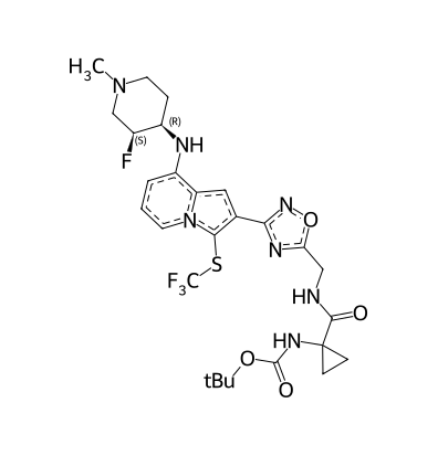 CN1CC[C@@H](Nc2cccn3c(SC(F)(F)F)c(-c4noc(CNC(=O)C5(NC(=O)OC(C)(C)C)CC5)n4)cc23)[C@@H](F)C1